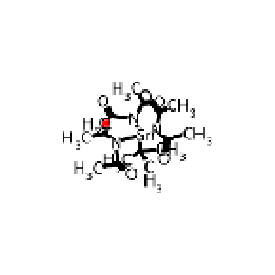 CC(=O)[N](C(C)=O)[Sn]([N](C(C)=O)C(C)=O)([N](C(C)=O)C(C)=O)[C](C)(C)C